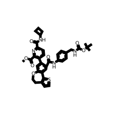 COC(=O)c1nc(C(=O)NC2CCC2)ccc1-c1cc2c(cc1C(=O)Nc1ccc(CNC(=O)OC(C)(C)C)cc1)-c1sccc1CCO2